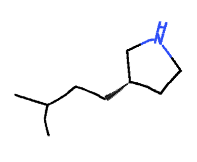 CC(C)CC[C@H]1CCNC1